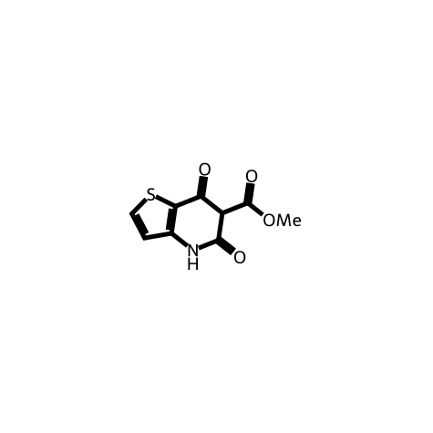 COC(=O)C1C(=O)Nc2ccsc2C1=O